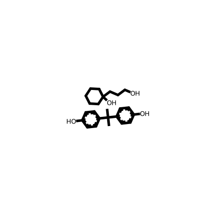 CC(C)(c1ccc(O)cc1)c1ccc(O)cc1.OCCCC1(O)CCCCC1